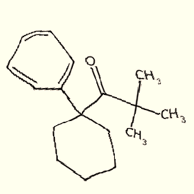 CC(C)(C)C(=O)C1(c2ccccc2)CCCCC1